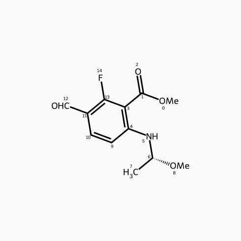 COC(=O)c1c(N[C@@H](C)OC)ccc(C=O)c1F